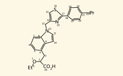 CCOC(Cc1cccc2c1ccn2Cc1csc(-c2ccc(C(C)C)cc2)n1)C(=O)O